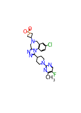 Cc1nc(N2CCC(c3nnc4n3-c3ccc(Cl)cc3CN(C3CS(=O)(=O)C3)C4)CC2)ncc1F